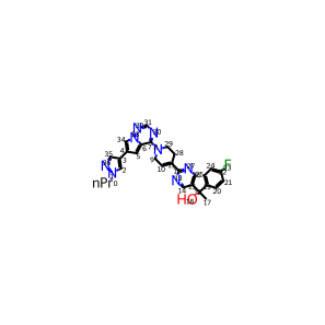 CCCn1cc(-c2cc3c(N4CC=C(c5ncc(C(C)(O)c6ccc(F)cc6)cn5)CC4)ncnn3c2)cn1